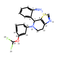 Nc1ccccc1C1c2scnc2CCN1c1cccc(OC(F)F)c1